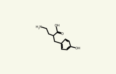 NCCC(Cc1ccc(O)cc1)C(=O)O